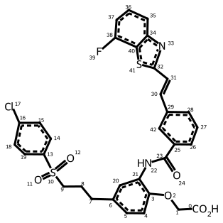 O=C(O)COc1ccc(CCCS(=O)(=O)c2ccc(Cl)cc2)cc1NC(=O)c1cccc(C=Cc2nc3cccc(F)c3s2)c1